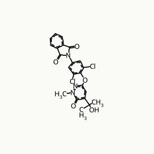 Cn1nc(Oc2c(Cl)cc(N3C(=O)c4ccccc4C3=O)cc2Cl)cc(C(C)(C)O)c1=O